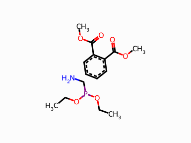 CCOP(CN)OCC.COC(=O)c1ccccc1C(=O)OC